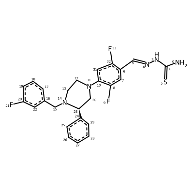 NC(=S)NN=Cc1cc(F)c(N2CCN(Cc3cccc(F)c3)[C@H](c3ccccc3)C2)cc1F